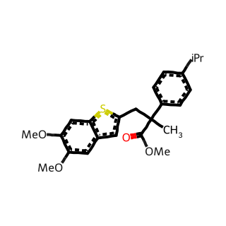 COC(=O)C(C)(Cc1cc2cc(OC)c(OC)cc2s1)c1ccc(C(C)C)cc1